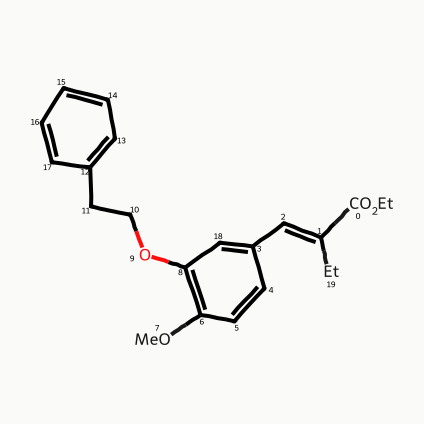 CCOC(=O)/C(=C/c1ccc(OC)c(OCCc2ccccc2)c1)CC